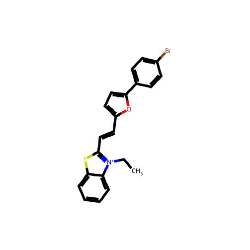 CC[n+]1c(/C=C/c2ccc(-c3ccc(Br)cc3)o2)sc2ccccc21